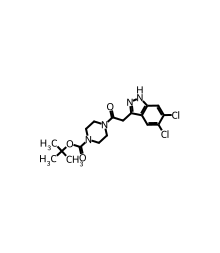 CC(C)(C)OC(=O)N1CCN(C(=O)Cc2n[nH]c3cc(Cl)c(Cl)cc23)CC1